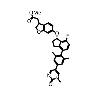 COC(=O)CC1COc2cc(O[C@@H]3CCc4c(-c5c(C)cc(-c6cnc(=O)n(C)c6)cc5C)ccc(F)c43)ccc21